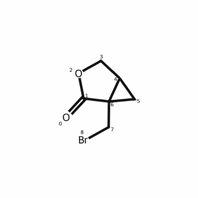 O=C1OCC2CC12CBr